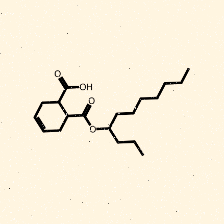 CCCCCCCC(CCC)OC(=O)C1CC=CCC1C(=O)O